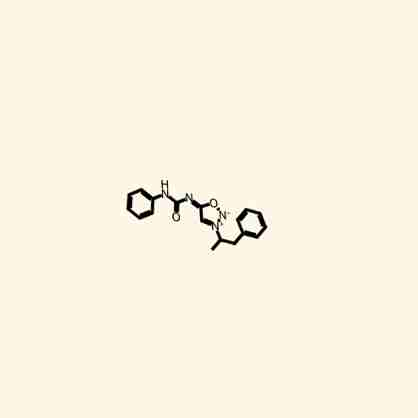 CC(Cc1ccccc1)[n+]1c/c(=N\C(=O)Nc2ccccc2)o[n-]1